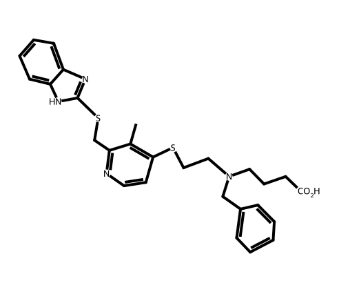 Cc1c(SCCN(CCCC(=O)O)Cc2ccccc2)ccnc1CSc1nc2ccccc2[nH]1